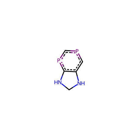 c1pcc2c(p1)NCN2